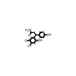 NC(=O)CC(c1ccc(O)nc1)c1cc(Cl)c(Cl)cc1O